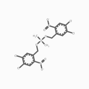 C[Si](C)(OCc1cc(Cl)c(Cl)cc1[N+](=O)[O-])OCc1cc(Cl)c(Cl)cc1[N+](=O)[O-]